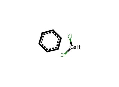 [Cl][GaH][Cl].[c]1ccccc1